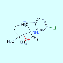 CC(C)(N)C1(O)/C(=C\c2ccc(Cl)cc2)CCC1(C)C